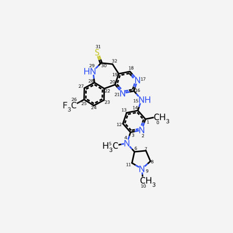 Cc1nc(N(C)C2CCN(C)C2)ccc1Nc1ncc2c(n1)-c1ccc(C(F)(F)F)cc1NC(=S)C2